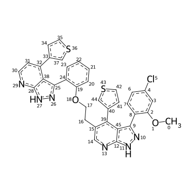 COc1cc(Cl)ccc1-c1n[nH]c2ncc(CCOc3ccccc3-c3n[nH]c4nccc(-c5ccsc5)c34)c(-c3ccsc3)c12